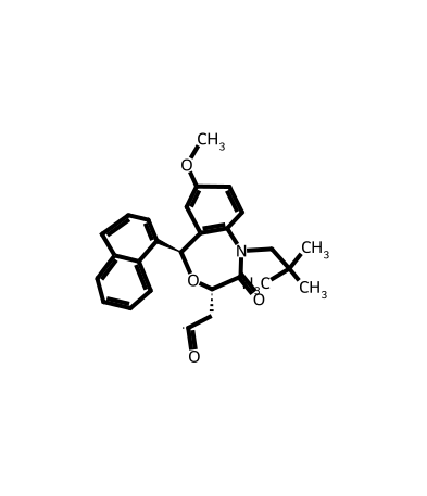 COc1ccc2c(c1)[C@H](c1cccc3ccccc13)O[C@@H](C[C]=O)C(=O)N2CC(C)(C)C